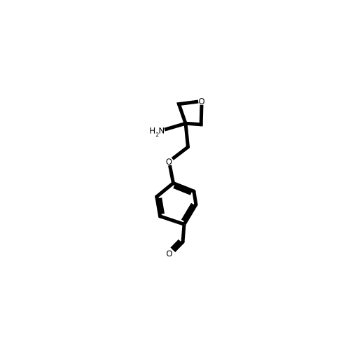 NC1(COc2ccc(C=O)cc2)COC1